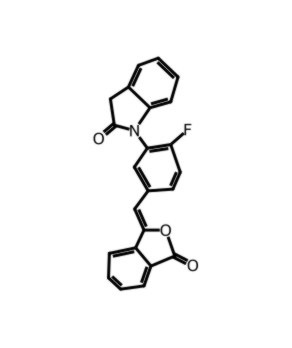 O=C1OC(=Cc2ccc(F)c(N3C(=O)Cc4ccccc43)c2)c2ccccc21